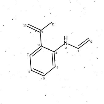 C=CNc1ccccc1C(=C)C